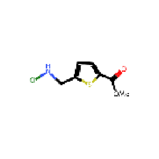 COC(=O)c1ccc(CNCl)s1